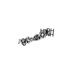 CC(C)(C)OC(=O)N1CCC(CCN2CCN(c3ccc(C(=N)NO)cc3)CC2)CC1